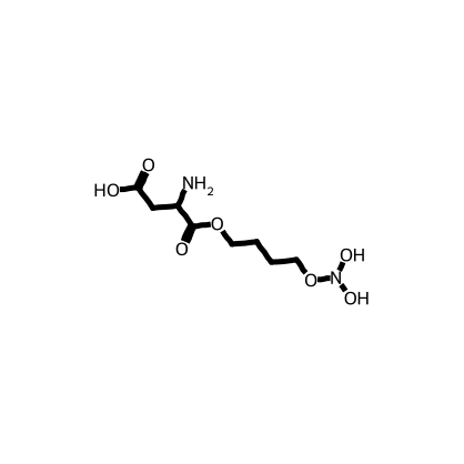 NC(CC(=O)O)C(=O)OCCCCON(O)O